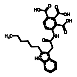 CCCCCCc1[nH]c2ccccc2c1CC(=O)Nc1ccc(C(=O)O)c(C(=O)O)c1C(=O)O